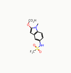 Cn1c(OC(=O)O)cc2cc(NS(=O)(=O)C(F)(F)F)ccc21